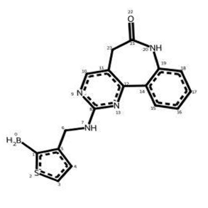 Bc1sccc1CNc1ncc2c(n1)-c1ccccc1NC(=O)C2